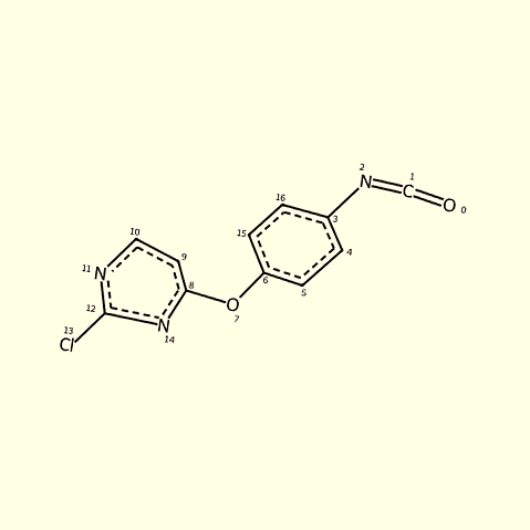 O=C=Nc1ccc(Oc2ccnc(Cl)n2)cc1